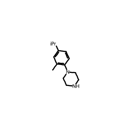 Cc1cc(C(C)C)ccc1N1CCNCC1